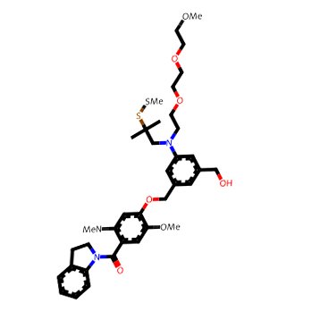 CNc1cc(OCc2cc(CO)cc(N(CCOCCOCCOC)CC(C)(C)SSC)c2)c(OC)cc1C(=O)N1CCc2ccccc21